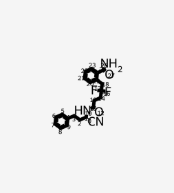 N#C[C@H](CCc1ccccc1)NC(=O)[CH]CC(F)(F)Cc1ccccc1C(N)=O